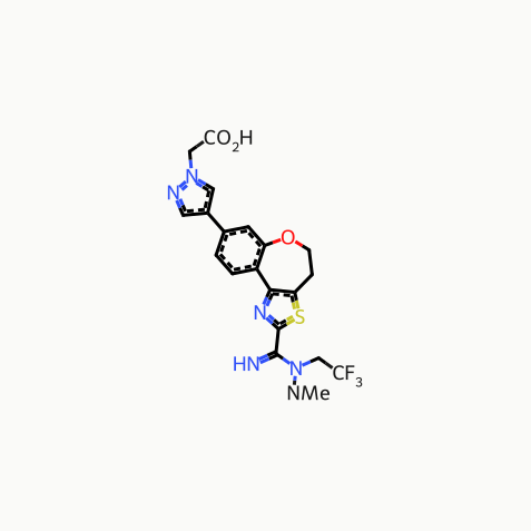 CNN(CC(F)(F)F)C(=N)c1nc2c(s1)CCOc1cc(-c3cnn(CC(=O)O)c3)ccc1-2